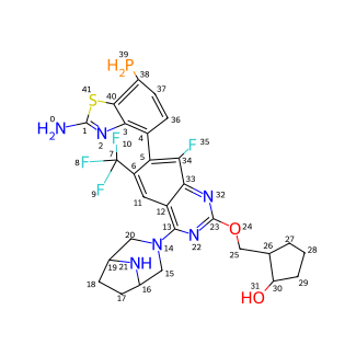 Nc1nc2c(-c3c(C(F)(F)F)cc4c(N5CC6CCC(C5)N6)nc(OCC5CCCC5O)nc4c3F)ccc(P)c2s1